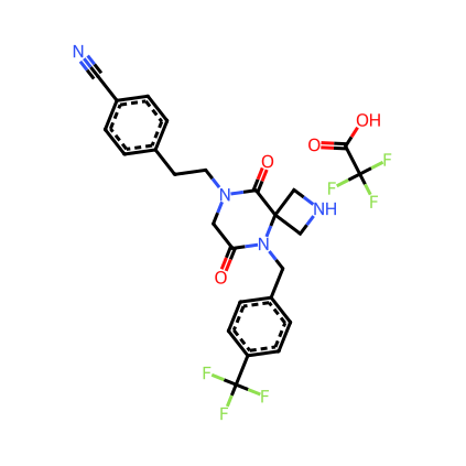 N#Cc1ccc(CCN2CC(=O)N(Cc3ccc(C(F)(F)F)cc3)C3(CNC3)C2=O)cc1.O=C(O)C(F)(F)F